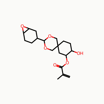 C=C(C)C(=O)OC1CC2(CCC1O)COC(C1CCC3OC3C1)OC2